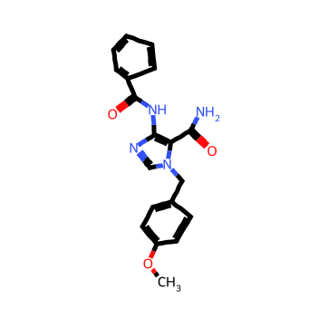 COc1ccc(Cn2cnc(NC(=O)c3ccccc3)c2C(N)=O)cc1